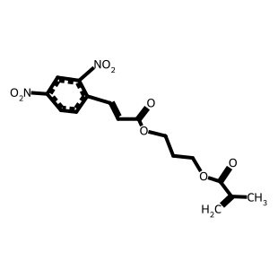 C=C(C)C(=O)OCCCOC(=O)/C=C/c1ccc([N+](=O)[O-])cc1[N+](=O)[O-]